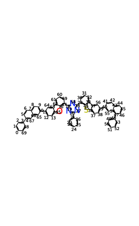 c1ccc(-c2ccc3ccc(-c4ccc5oc6c(-c7nc(-c8ccccc8)nc(-c8cccc9c8sc8ccc(-c%10ccc%11cccc(-c%12ccccc%12)c%11c%10)cc89)n7)cccc6c5c4)cc3c2)cc1